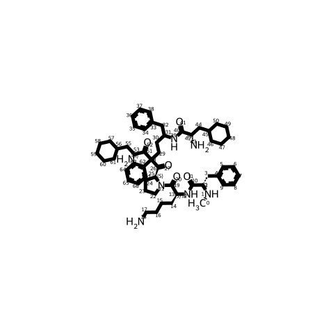 CN[C@@H](Cc1ccccc1)C(=O)N[C@@H](CCCCN)C(=O)N1CCC[C@H]1C(=O)C(CCC(Cc1ccccc1)NC(=O)[C@@H](N)CC1CCCCC1)(C(=O)[C@H](N)CC1CCCCC1)c1ccccc1